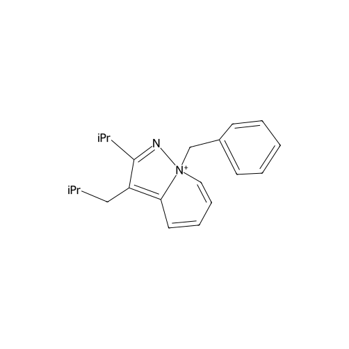 CC(C)CC1=C2C=CC=C[N+]2(Cc2ccccc2)N=C1C(C)C